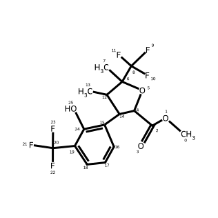 COC(=O)C1OC(C)(C(F)(F)F)C(C)C1c1cccc(C(F)(F)F)c1O